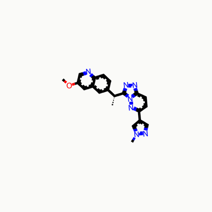 COc1cnc2ccc([C@@H](C)c3nnc4ccc(-c5cnn(C)c5)nn34)cc2c1